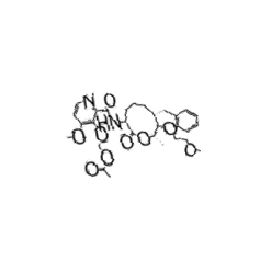 COCCO[C@@H]1[C@@H](Cc2ccccc2)CCC[C@H](NC(=O)c2nccc(OC)c2OCOC(C)=O)C(=O)O[C@H]1C